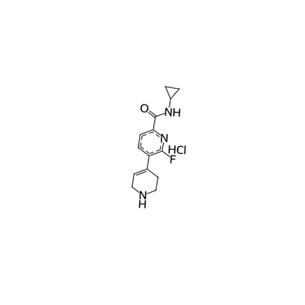 Cl.O=C(NC1CC1)c1ccc(C2=CCNCC2)c(F)n1